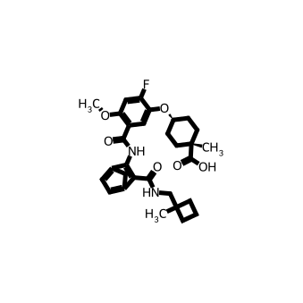 COc1cc(F)c(O[C@H]2CC[C@@](C)(C(=O)O)CC2)cc1C(=O)NC1=C(C(=O)NCC2(C)CCC2)C2=CC=C1C2